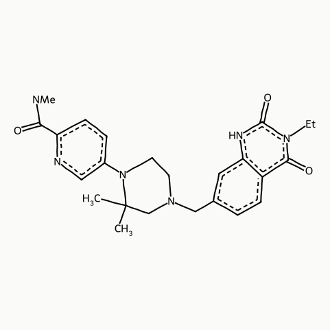 CCn1c(=O)[nH]c2cc(CN3CCN(c4ccc(C(=O)NC)nc4)C(C)(C)C3)ccc2c1=O